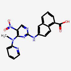 CN(c1ccccn1)c1nc(Nc2ccc3c(C(=O)O)cccc3c2)ncc1[N+](=O)[O-]